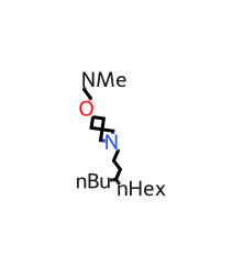 CCCCCCC(CCCC)CCCN1CC2(CC(OCCNC)C2)C1